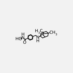 CC12CC3CC(C)(C1)CC(NCc1ccc(C(=O)NO)cc1)(C3)C2